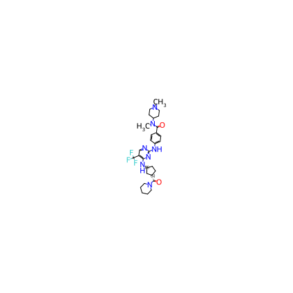 CN1CCC(N(C)C(=O)c2ccc(Nc3ncc(C(F)(F)F)c(N[C@@H]4CC[C@H](C(=O)N5CCCCC5)C4)n3)cc2)CC1